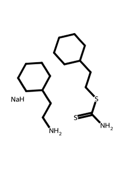 NC(=S)SCCC1CCCCC1.NCCC1CCCCC1.[NaH]